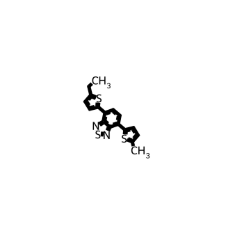 CCc1ccc(-c2ccc(-c3ccc(C)s3)c3nsnc23)s1